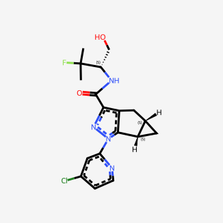 CC(C)(F)[C@H](CO)NC(=O)c1nn(-c2cc(Cl)ccn2)c2c1C[C@@H]1C[C@H]21